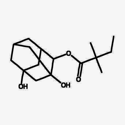 CCC(C)(C)C(=O)OC1C2CC3CC(O)(C2)CC1(O)C3